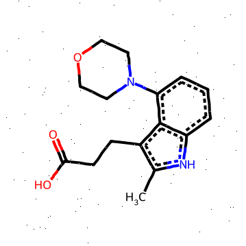 Cc1[nH]c2cccc(N3CCOCC3)c2c1CCC(=O)O